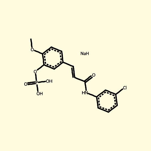 COc1ccc(/C=C/C(=O)Nc2cccc(Cl)c2)cc1OP(=O)(O)O.[NaH]